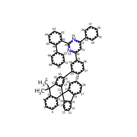 CC1(C)c2ccccc2C2(c3ccccc3-c3ccccc32)c2cc(-c3cccc(-c4cc(-c5ccccc5)nc(-c5ccccc5-c5ccccc5)n4)c3)ccc21